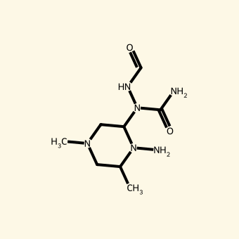 CC1CN(C)CC(N(NC=O)C(N)=O)N1N